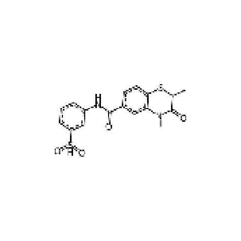 CC1Sc2ccc(C(=O)Nc3cccc([SH](=O)=O)c3)cc2NC1=O